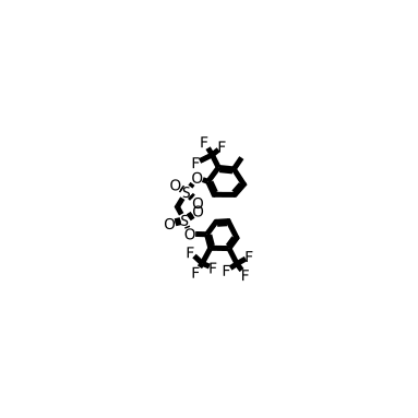 Cc1cccc(OS(=O)(=O)CS(=O)(=O)Oc2cccc(C(F)(F)F)c2C(F)(F)F)c1C(F)(F)F